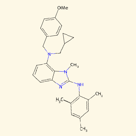 COc1ccc(CN(CC2CC2)c2cccc3nc(Nc4c(C)cc(C)cc4C)n(C)c23)cc1